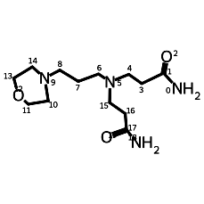 NC(=O)CCN(CCCN1CCOCC1)CCC(N)=O